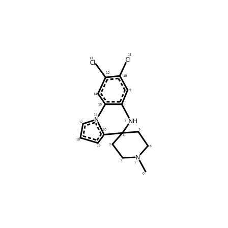 CN1CCC2(CC1)Nc1cc(Cl)c(Cl)cc1-n1cccc12